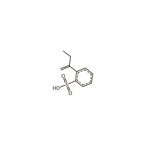 C=C(CC)c1ccccc1S(=O)(=O)O